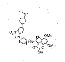 COc1cc(OC)c(Cl)c(N(C(=O)NCc2cc(Nc3ccc(N4CCC(N(C)C5CC5)CC4)cc3[N+](=O)[O-])ncn2)C(=O)OC(C)(C)C)c1Cl